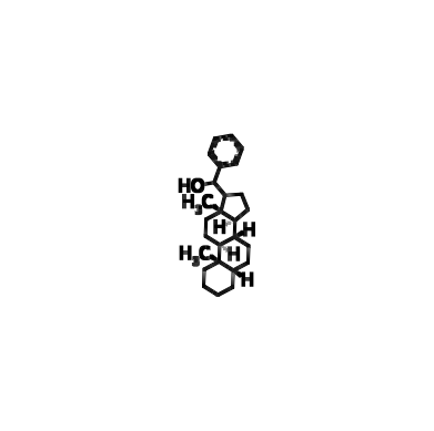 C[C@]12CCCC[C@H]1CC[C@@H]1[C@@H]2CC[C@]2(C)C(C(O)c3ccccc3)CC[C@@H]12